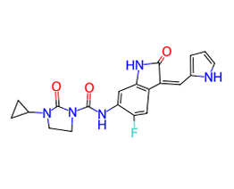 O=C1Nc2cc(NC(=O)N3CCN(C4CC4)C3=O)c(F)cc2/C1=C/c1ccc[nH]1